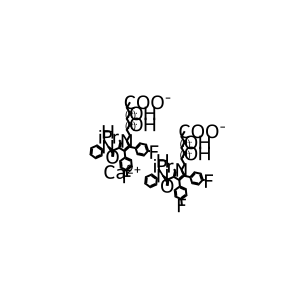 CC(C)c1c(C(=O)Nc2ccccc2)c(-c2ccc(F)cc2)c(-c2ccc(F)cc2)n1CC[C@@H](O)C[C@@H](O)CC(=O)[O-].CC(C)c1c(C(=O)Nc2ccccc2)c(-c2ccc(F)cc2)c(-c2ccc(F)cc2)n1CC[C@@H](O)C[C@@H](O)CC(=O)[O-].[Ca+2]